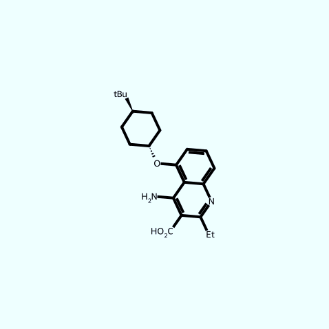 CCc1nc2cccc(O[C@H]3CC[C@H](C(C)(C)C)CC3)c2c(N)c1C(=O)O